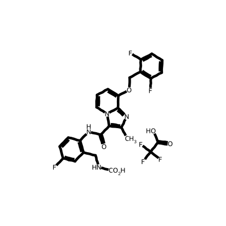 Cc1nc2c(OCc3c(F)cccc3F)cccn2c1C(=O)Nc1ccc(F)cc1CNC(=O)O.O=C(O)C(F)(F)F